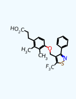 Cc1c(CCC(=O)O)ccc(OCc2c(-c3ccccc3)nsc2C(F)(F)F)c1C